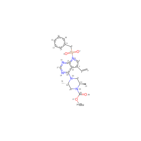 C=Cc1cn(S(=O)(=O)Cc2ccccc2)c2ncnc(N3C[C@@H](C)N(C(=O)OC(C)(C)C)C[C@@H]3C)c12